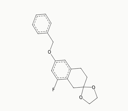 Fc1cc(OCc2ccccc2)cc2c1CC1(CC2)OCCO1